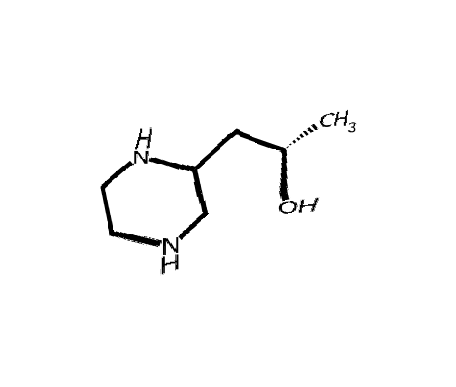 C[C@H](O)CC1CNCCN1